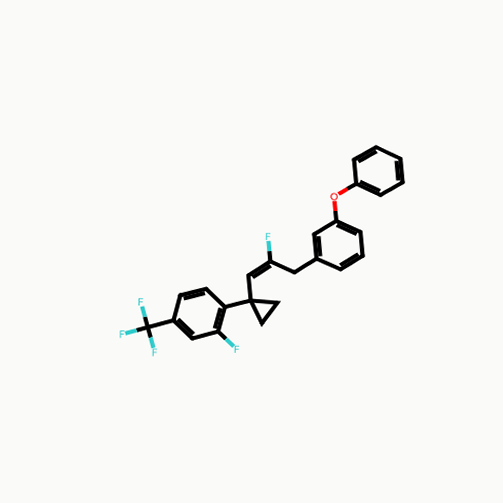 F/C(=C/C1(c2ccc(C(F)(F)F)cc2F)CC1)Cc1cccc(Oc2ccccc2)c1